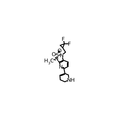 CN1c2nc(C3=CCCNC3)ccc2N(CC2CC2(F)F)S1(=O)=O